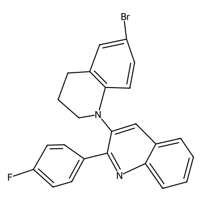 Fc1ccc(-c2nc3ccccc3cc2N2CCCc3cc(Br)ccc32)cc1